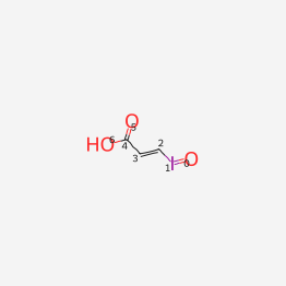 O=IC=CC(=O)O